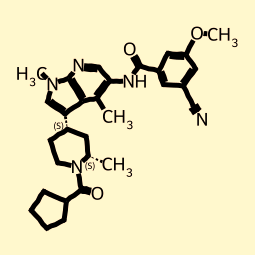 COc1cc(C#N)cc(C(=O)Nc2cnc3c(c([C@H]4CCN(C(=O)C5CCCC5)[C@@H](C)C4)cn3C)c2C)c1